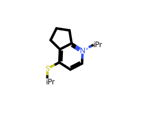 CC(C)Sc1cc[n+](C(C)C)c2c1CCC2